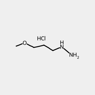 COCCCNN.Cl